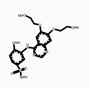 CNS(=O)(=O)c1ccc(OC)c(Nc2ncnc3cc(OCCOC)c(OCCOC)cc23)c1